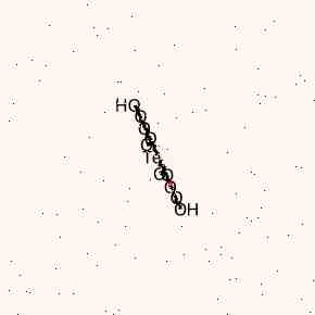 O=C(CCC[Te]CCCC(=O)OCCOCCOCCO)OCCOCCOCCO